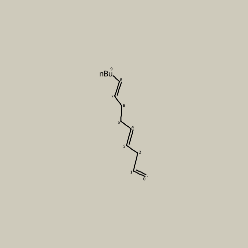 [CH]=CCC=CCCC=CCCCC